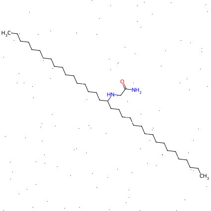 CCCCCCCCCCCCCCCCCC(CCCCCCCCCCCCCCCCC)NCC(N)=O